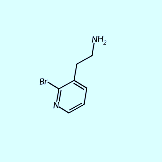 NCCc1cccnc1Br